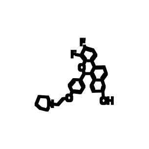 Oc1ccc2c3c(ccc2c1)-c1ccc(F)c(F)c1OC3c1ccc(OCCN2CCCCC2)cc1